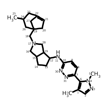 Cc1cnn(C)c1-c1ccc(NC2CCC3CN(CC45CC=C(CC(C)C4)C5)CC32)nn1